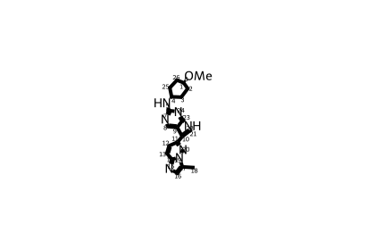 CO[C@H]1CC[C@@H](Nc2ncc3c(-c4ccc5ncc(C)n5n4)c[nH]c3n2)CC1